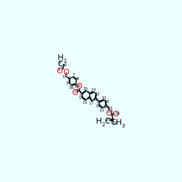 C=CC(=O)OCc1ccc(OC(=O)c2ccc3cc(-c4ccc(COC(=O)C(=C)C)cc4)ccc3c2)cc1